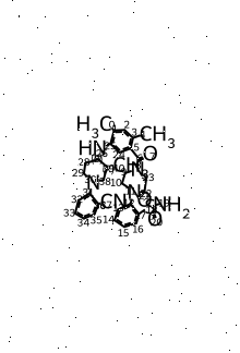 Cc1cc(C)c(C(=O)N2CCN(c3ccccc3S(N)(=O)=O)CC2)cc1N[C@H]1CCN(c2ccccc2C#N)C[C@H]1C